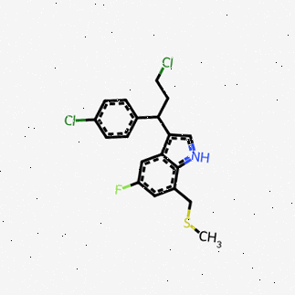 CSCc1cc(F)cc2c(C(CCCl)c3ccc(Cl)cc3)c[nH]c12